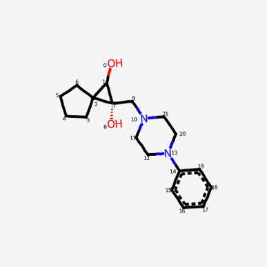 OC1C2(CCCC2)[C@]1(O)CN1CCN(c2ccccc2)CC1